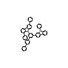 c1ccc(-c2ccc(-c3cc(-c4ccc5c6ccccc6n(-c6ccccc6)c5c4)cc(-n4c5ccc(-c6ccccc6)cc5c5cccc(-c6ccccc6)c54)c3)cc2)cc1